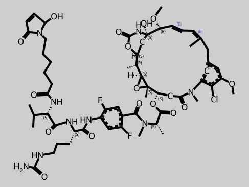 COc1cc2cc(c1Cl)N(C)C(=O)C[C@H](OC(=O)[C@H](C)N(C)C(=O)c1cc(F)c(NC(=O)[C@H](CCCNC(N)=O)NC(=O)[C@@H](NC(=O)CCCCCN3C(=O)C=CC3O)C(C)C)cc1F)[C@]1(C)O[C@H]1[C@H](C)[C@@H]1C[C@@](O)(NC(=O)O1)[C@H](OC)/C=C/C=C(\C)C2